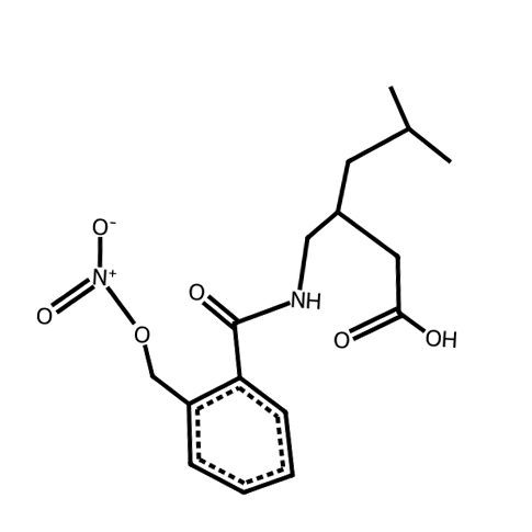 CC(C)CC(CNC(=O)c1ccccc1CO[N+](=O)[O-])CC(=O)O